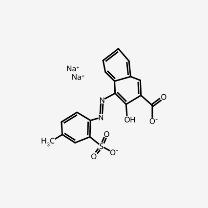 Cc1ccc(N=Nc2c(O)c(C(=O)[O-])cc3ccccc23)c(S(=O)(=O)[O-])c1.[Na+].[Na+]